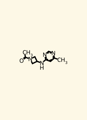 CC(=O)N1CC(Nc2cc(C)ncn2)C1